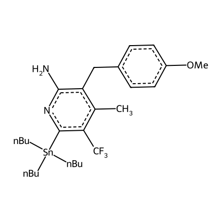 CCC[CH2][Sn]([CH2]CCC)([CH2]CCC)[c]1nc(N)c(Cc2ccc(OC)cc2)c(C)c1C(F)(F)F